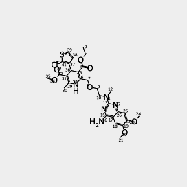 CCOC(=O)C1=C(COCCN(C)c2nc(N)c3cc(OC)c(OC)cc3n2)NC(C)=C(C(=O)OC)C1c1ccsc1Cl